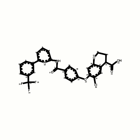 O=C(Nc1cccc(-c2cccc(C(F)(F)F)c2)n1)c1ccc(Oc2cc3c(cc2Cl)C(C(=O)O)CCO3)cc1